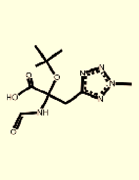 Cn1nnc(CC(NC=O)(OC(C)(C)C)C(=O)O)n1